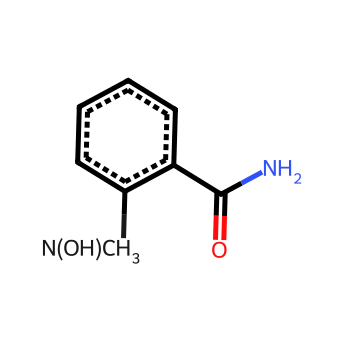 CN(O)c1ccccc1C(N)=O